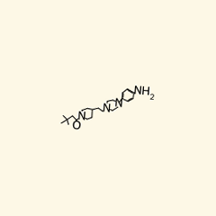 CC(C)(C)CC(=O)N1CCC(CCN2CCN(c3ccc(N)cc3)CC2)CC1